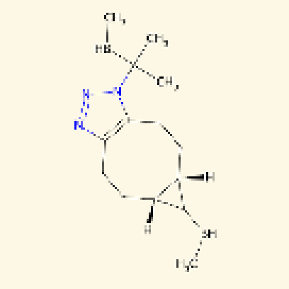 CBC1[C@H]2CCc3c(nnn3C(C)(C)BC)CC[C@@H]12